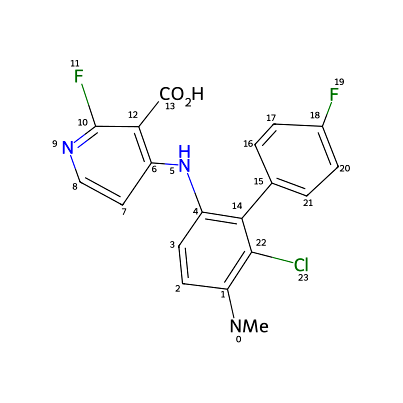 CNc1ccc(Nc2ccnc(F)c2C(=O)O)c(-c2ccc(F)cc2)c1Cl